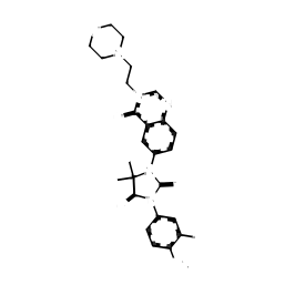 CC1(C)C(=O)N(c2ccc(C#N)c(Cl)c2)C(=S)N1c1ccc2ncn(CCN3CCOCC3)c(=O)c2c1